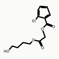 CCc1ccccc1C(=O)OCC(=O)OCCCCO